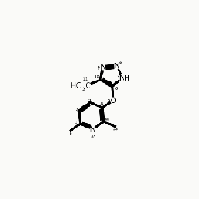 Cc1ccc(Oc2[nH]nnc2C(=O)O)c(C)n1